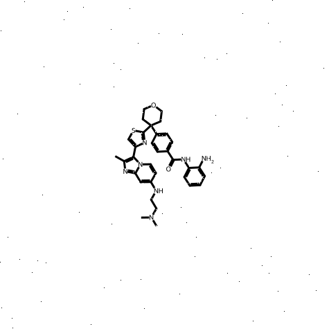 Cc1nc2cc(NCCN(C)C)ccn2c1-c1csc(C2(c3ccc(C(=O)Nc4ccccc4N)cc3)CCOCC2)n1